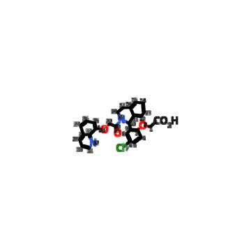 O=C(O)COc1ccc(Cl)cc1C1c2ccccc2CCN1C(=O)COc1cccc2cccnc12